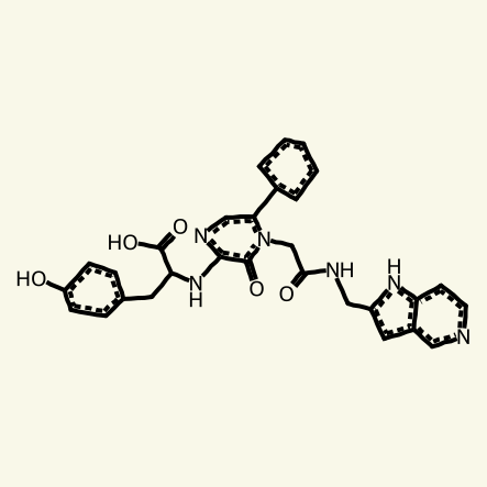 O=C(Cn1c(-c2ccccc2)cnc(NC(Cc2ccc(O)cc2)C(=O)O)c1=O)NCc1cc2cnccc2[nH]1